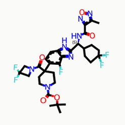 Cc1nonc1C(=O)N[C@H](c1nc2c(F)c(C3(C(=O)N4CC(F)(F)C4)CCN(C(=O)OC(C)(C)C)CC3)ccc2[nH]1)C1CCC(F)(F)CC1